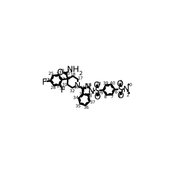 CN(C)S(=O)(=O)c1ccc(S(=O)(=O)n2nc(N3CCC(C(N)=O)(c4ccc(F)cc4F)CC3)c3ccccc32)cc1